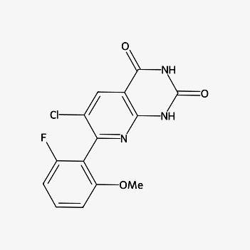 COc1cccc(F)c1-c1nc2[nH]c(=O)[nH]c(=O)c2cc1Cl